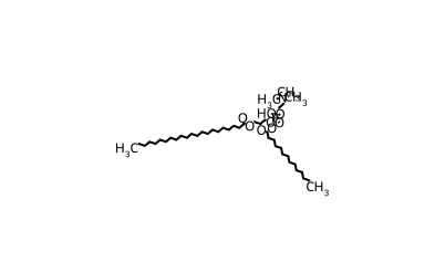 CCCCCCCCCCCCCCCCCCCCCC(=O)OCC(COP(=O)(O)OCC[N+](C)(C)C)OC(=O)CCCCCCCCCCCCC